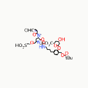 CN(C(=O)/C=C\C=O)C1CC(COCCS(=O)(=O)O)N(CC(=O)NCCCCc2ccc(COC(=O)C(C)(C)C)c(OC3CC(O)CC(C(=O)O)O3)c2)C1=O